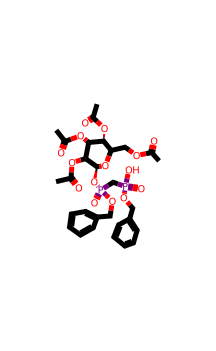 CC(=O)OCC1O[C@@H](OP(=O)(CP(=O)(O)OCc2ccccc2)OCc2ccccc2)C(OC(C)=O)C(OC(C)=O)[C@@H]1OC(C)=O